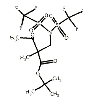 CC(=O)C(C)(CN(S(=O)(=O)C(F)(F)F)S(=O)(=O)C(F)(F)F)C(=O)OC(C)(C)C